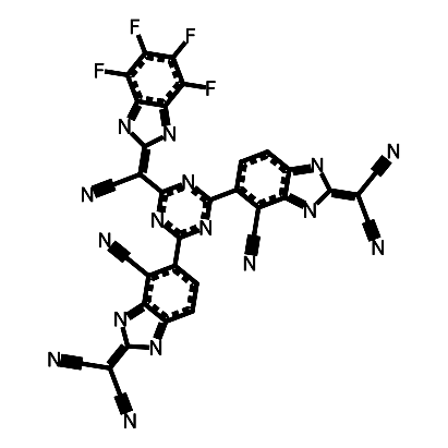 N#CC(C#N)=C1N=c2ccc(-c3nc(C(C#N)=C4N=c5c(F)c(F)c(F)c(F)c5=N4)nc(-c4ccc5c(c4C#N)=NC(=C(C#N)C#N)N=5)n3)c(C#N)c2=N1